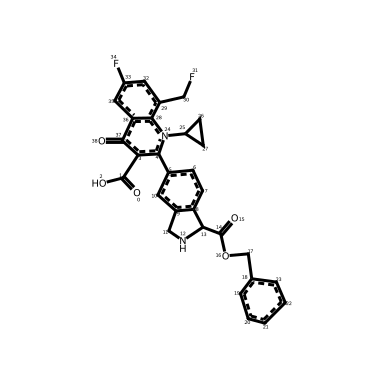 O=C(O)c1c(-c2ccc3c(c2)CNC3C(=O)OCc2ccccc2)n(C2CC2)c2c(CF)cc(F)cc2c1=O